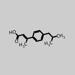 C/C(=C\C(=O)O)c1ccc(CC(C)C)cc1